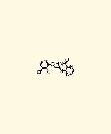 O=c1[nH]c(COc2cccc(Cl)c2Cl)nc2nccnc12